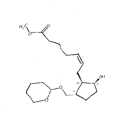 COC(=O)CCC/C=C\C[C@@H]1[C@@H](COC2CCCCO2)CC[C@@H]1O